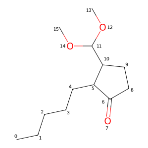 CCCCCC1C(=O)CCC1C(OC)OC